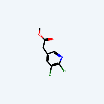 COC(=O)Cc1cnc(Cl)c(Cl)c1